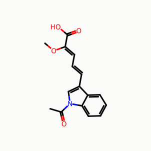 COC(=CC=Cc1cn(C(C)=O)c2ccccc12)C(=O)O